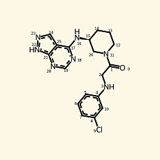 O=C(CNc1cccc(Cl)c1)N1CCC[C@H](Nc2ncnc3[nH]ncc23)C1